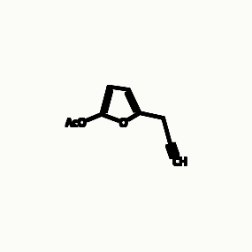 C#CCc1ccc(OC(C)=O)o1